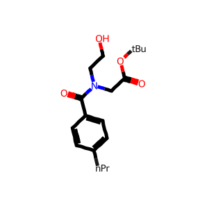 CCCc1ccc(C(=O)N(CCO)CC(=O)OC(C)(C)C)cc1